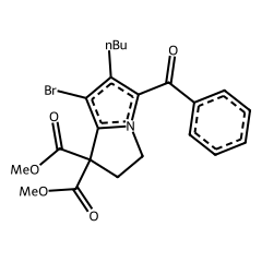 CCCCc1c(Br)c2n(c1C(=O)c1ccccc1)CCC2(C(=O)OC)C(=O)OC